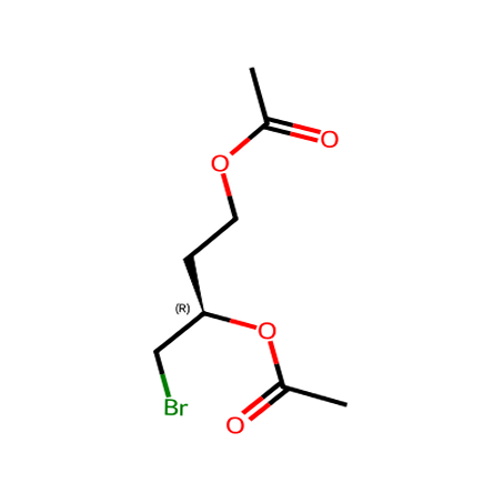 CC(=O)OCC[C@H](CBr)OC(C)=O